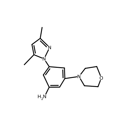 Cc1cc(C)n(-c2cc(N)cc(N3CCOCC3)c2)n1